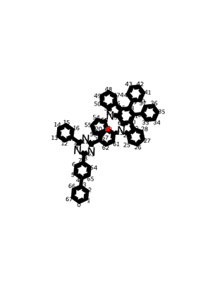 c1ccc(-c2ccc(-c3nc(-c4ccccc4)nc(-c4ccc(-n5c6ccccc6c6c(-c7ccccc7)c(-c7ccccc7)c7c8ccccc8n(-c8ccccc8)c7c65)cc4)n3)cc2)cc1